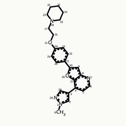 Cn1cc(-c2ccnc3cc(-c4ccc(OCCN5CCCCC5)cc4)oc23)cn1